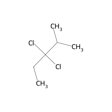 CCC(Cl)(Cl)C(C)C